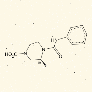 C[C@H]1CN(C(=O)O)CCN1C(=O)Nc1ccccc1